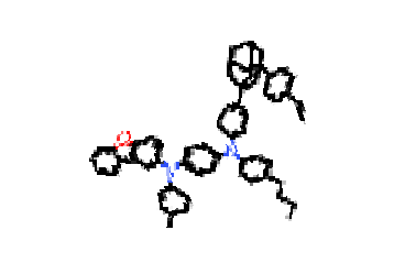 C=Cc1ccc(C23CC4CC(C2)CC(c2ccc(N(c5ccc(CCCC)cc5)c5ccc(N(c6ccc(C)cc6)c6ccc7oc8ccccc8c7c6)cc5)cc2)(C4)C3)cc1